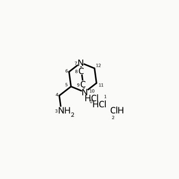 Cl.Cl.Cl.NCC1CN2CCN1CC2